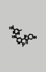 CNc1cc(C)nc(Nc2cnc(OC)c(-c3nc4c([nH]3)CNCC4)c2)n1